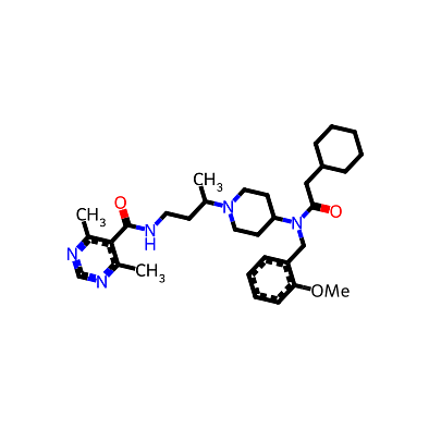 COc1ccccc1CN(C(=O)CC1CCCCC1)C1CCN(C(C)CCNC(=O)c2c(C)ncnc2C)CC1